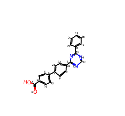 O=C(O)c1ccc(-c2ccc(-c3ncnc(-c4ccccc4)n3)cc2)cc1